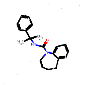 CC(C)(NC(=O)N1CCCCc2ccccc21)c1ccccc1